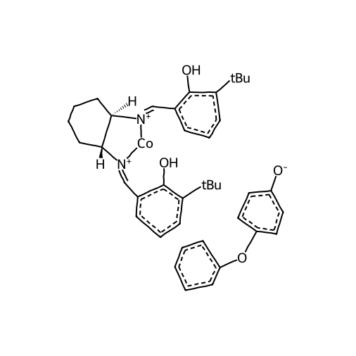 CC(C)(C)c1cccc(C=[N+]2[Co][N+](=Cc3cccc(C(C)(C)C)c3O)[C@@H]3CCCC[C@H]32)c1O.[O-]c1ccc(Oc2ccccc2)cc1